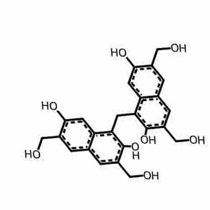 OCc1cc2cc(CO)c(O)c(Cc3c(O)c(CO)cc4cc(CO)c(O)cc34)c2cc1O